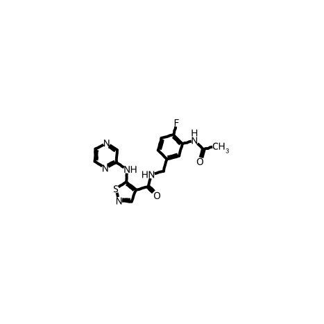 CC(=O)Nc1cc(CNC(=O)c2cnsc2Nc2cnccn2)ccc1F